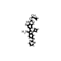 C[C@@H](OC(=O)Nc1c(F)cc(-c2c(N)c3ccc(Oc4ncccn4)cc3n2C2CCC2)cc1F)C1CC1